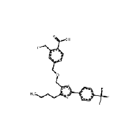 CCCCc1nc(-c2ccc(C(F)(F)F)cc2)sc1COCc1ccc(C(=O)O)c(CF)c1